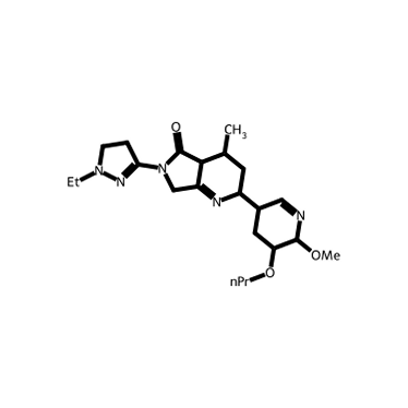 CCCOC1CC(C2CC(C)C3C(=O)N(C4=NN(CC)CC4)CC3=N2)C=NC1OC